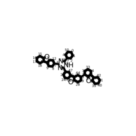 c1ccc(C2N=C(c3ccc4c(c3)oc3ccccc34)N=C(c3ccc4oc5ccc(-c6cccc7c6oc6ccccc67)cc5c4c3)N2)cc1